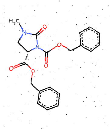 CN1C[C@@H](C(=O)OCc2ccccc2)N(C(=O)OCc2ccccc2)C1=O